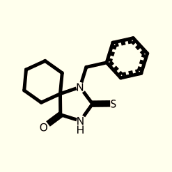 O=C1NC(=S)N(Cc2ccccc2)C12CCCCC2